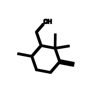 C=C1CCC(C)C(CO)C1(C)C